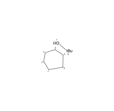 C1CCCCC1.CC(C)(C)O